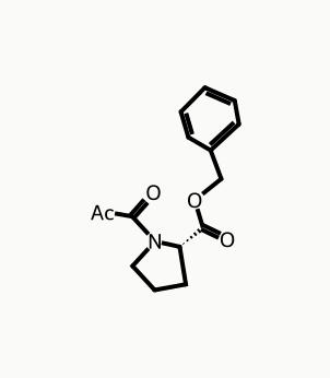 CC(=O)C(=O)N1CCC[C@H]1C(=O)OCc1ccccc1